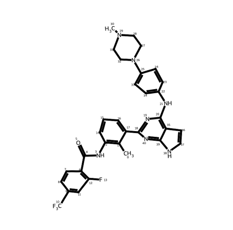 Cc1c(NC(=O)c2ccc(C(F)(F)F)cc2F)cccc1-c1nc(Nc2ccc(N3CCN(C)CC3)cc2)c2cc[nH]c2n1